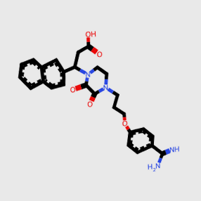 N=C(N)c1ccc(OCCCN2CCN(C(CC(=O)O)c3ccc4ccccc4c3)C(=O)C2=O)cc1